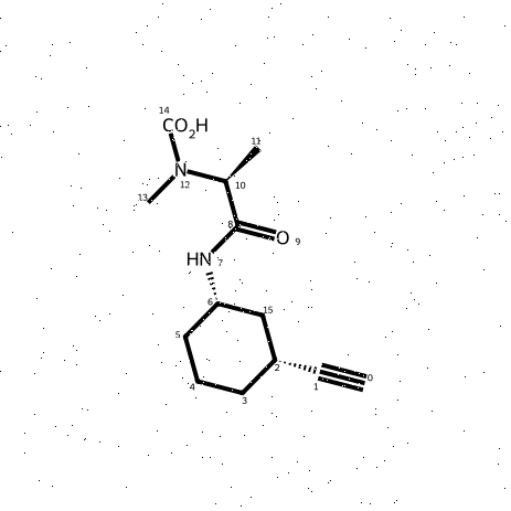 C#C[C@@H]1CCC[C@H](NC(=O)[C@H](C)N(C)C(=O)O)C1